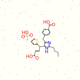 CCCCc1nc(Cc2ccc(C(=O)O)cc2)c(C(C=CC(=O)O)c2cccs2)[nH]1.CS(=O)(=O)O